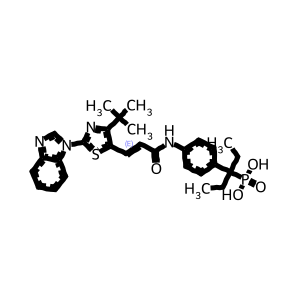 CCC(CC)(c1ccc(NC(=O)/C=C/c2sc(-n3cnc4ccccc43)nc2C(C)(C)C)cc1)P(=O)(O)O